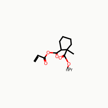 C=CC(=O)OC(=O)C1CCCCC1(C)C(=O)OCCC